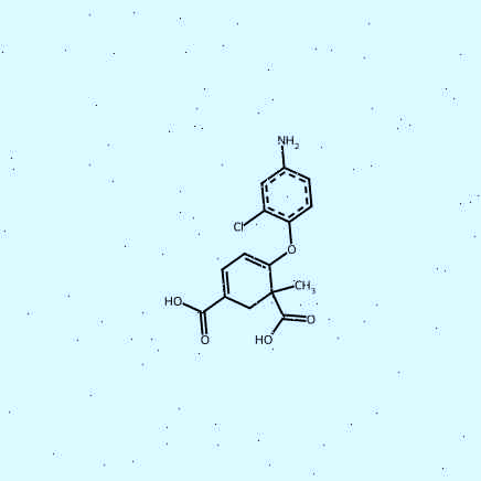 CC1(C(=O)O)CC(C(=O)O)=CC=C1Oc1ccc(N)cc1Cl